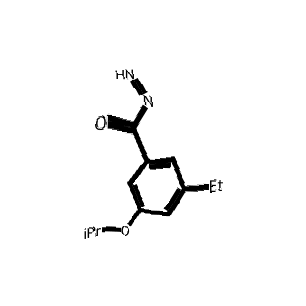 CCc1cc(OC(C)C)cc(C(=O)N=N)c1